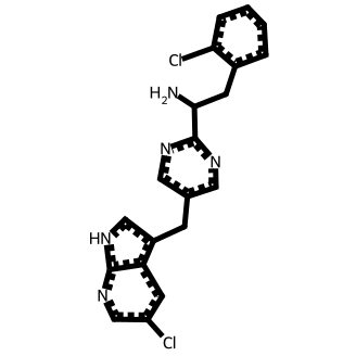 NC(Cc1ccccc1Cl)c1ncc(Cc2c[nH]c3ncc(Cl)cc23)cn1